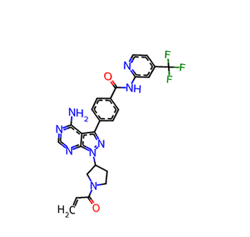 C=CC(=O)N1CCC(n2nc(-c3ccc(C(=O)Nc4cc(C(F)(F)F)ccn4)cc3)c3c(N)ncnc32)C1